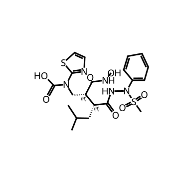 CC(C)C[C@@H](C(=O)NN(c1ccccc1)S(C)(=O)=O)[C@H](CN(C(=O)O)c1nccs1)C(=O)NO